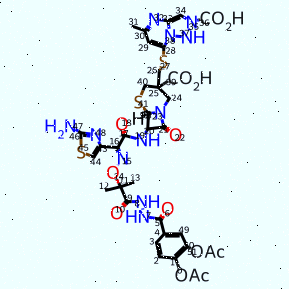 CC(=O)Oc1ccc(C(=O)NNC(=O)C(C)(C)ON=C(C(=O)NC2C(=O)N3CC(CSC4=CC(C)=NC5=CN(C(=O)O)NN54)(C(=O)O)CS[C@H]23)c2csc(N)n2)cc1OC(C)=O